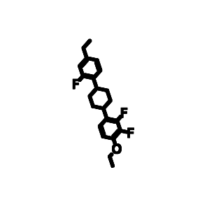 CCOc1ccc(C2CCC(c3ccc(CC)cc3F)CC2)c(F)c1F